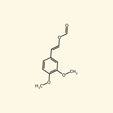 COc1ccc(/C=C/OC=O)cc1OC